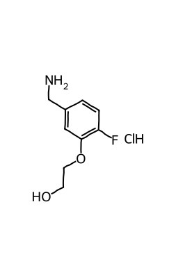 Cl.NCc1ccc(F)c(OCCO)c1